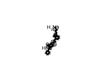 NS(=O)(=O)CCCn1ccc2c(/C=C/S(=O)(=O)N3CCC4(CC3)N=C(C3CCCCC3)NC4=O)cccc21